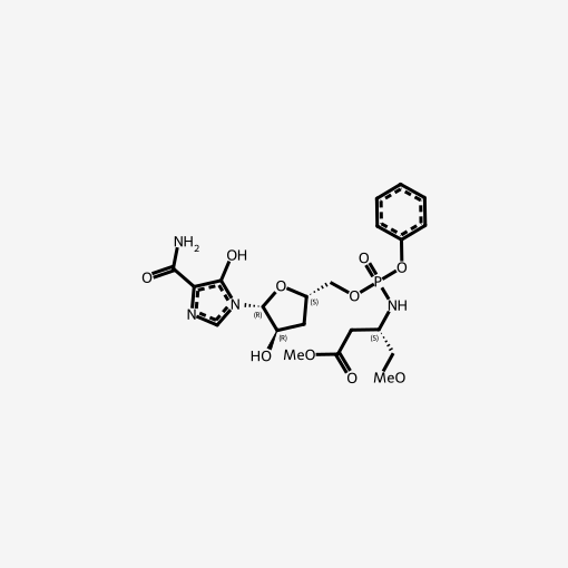 COC[C@H](CC(=O)OC)NP(=O)(OC[C@@H]1C[C@@H](O)[C@H](n2cnc(C(N)=O)c2O)O1)Oc1ccccc1